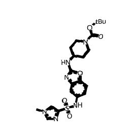 Cn1cnc(S(=O)(=O)Nc2ccc3oc(NC4CCN(C(=O)OC(C)(C)C)CC4)nc3c2)c1